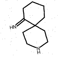 N=C1CCCCC12CCNCC2